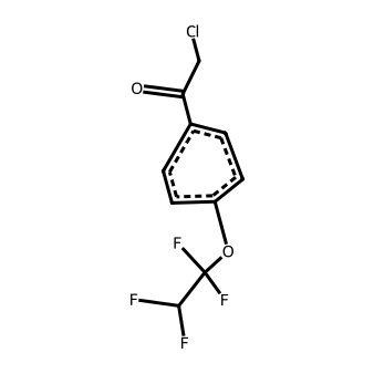 O=C(CCl)c1ccc(OC(F)(F)C(F)F)cc1